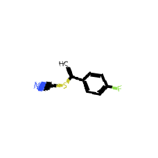 [CH]=C(SC#N)c1ccc(F)cc1